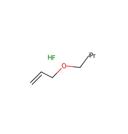 C=CCOCC(C)C.F